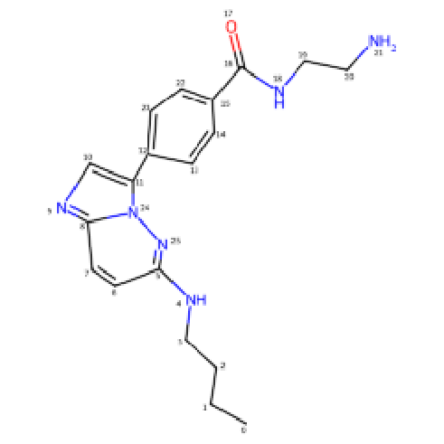 CCCCNc1ccc2ncc(-c3ccc(C(=O)NCCN)cc3)n2n1